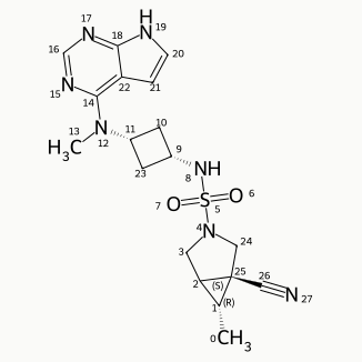 C[C@@H]1C2CN(S(=O)(=O)N[C@H]3C[C@@H](N(C)c4ncnc5[nH]ccc45)C3)C[C@@]21C#N